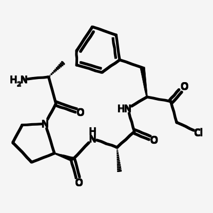 C[C@H](NC(=O)[C@H]1CCCN1C(=O)[C@@H](C)N)C(=O)N[C@@H](Cc1ccccc1)C(=O)CCl